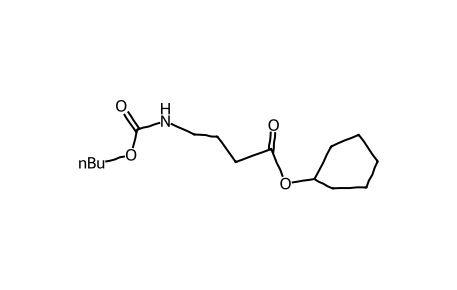 CCCCOC(=O)NCCCC(=O)OC1CCCCC1